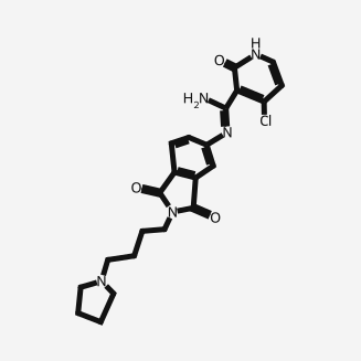 N/C(=N\c1ccc2c(c1)C(=O)N(CCCCN1CCCC1)C2=O)c1c(Cl)cc[nH]c1=O